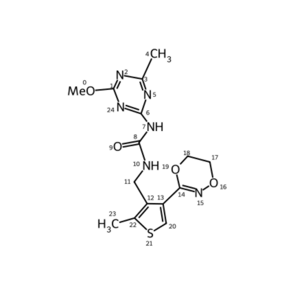 COc1nc(C)nc(NC(=O)NCc2c(C3=NOCCO3)csc2C)n1